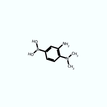 CN(C)c1ccc(B(O)O)cc1N